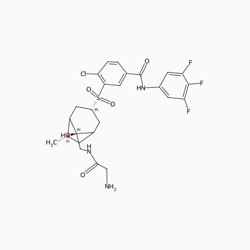 C[C@H]1CC2C[C@@H](S(=O)(=O)c3cc(C(=O)Nc4cc(F)c(F)c(F)c4)ccc3Cl)CC1[C@@]2(O)CNC(=O)CN